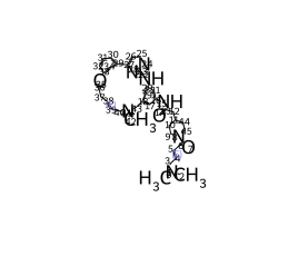 CN(C)C/C=C/C(=O)N1CCC(CC(=O)Nc2cc3cc(c2)Nc2nccc(n2)-c2cccc(c2)OCC/C=C/CN(C)C3)CC1